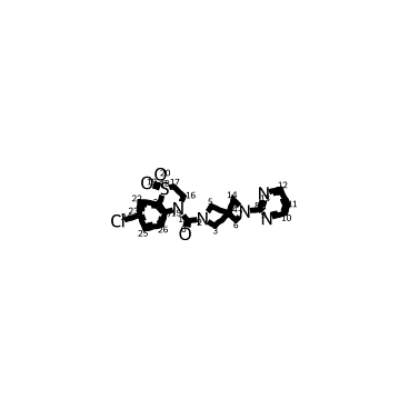 O=C(N1CC2(C1)CN(c1ncccn1)C2)N1CCS(=O)(=O)c2cc(Cl)ccc21